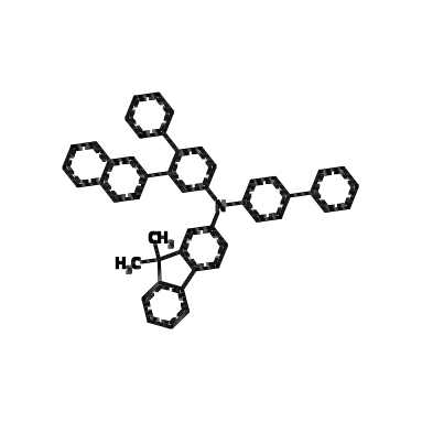 CC1(C)c2ccccc2-c2ccc(N(c3ccc(-c4ccccc4)cc3)c3ccc(-c4ccccc4)c(-c4ccc5ccccc5c4)c3)cc21